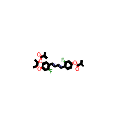 C=C(C)C(=O)OC(C)=C(C)Oc1ccc(/C=C/C=C/c2ccc(OC(=O)C(=C)C)cc2F)c(F)c1